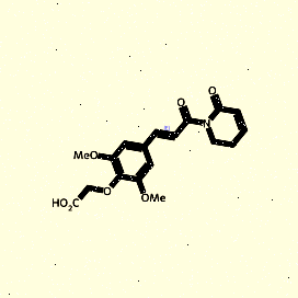 COc1cc(/C=C/C(=O)N2CCC=CC2=O)cc(OC)c1OCC(=O)O